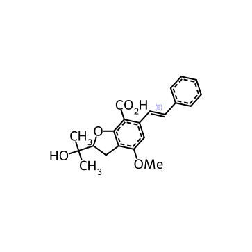 COc1cc(/C=C/c2ccccc2)c(C(=O)O)c2c1CC(C(C)(C)O)O2